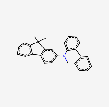 CN(c1ccc2c(c1)C(C)(C)c1ccccc1-2)c1ccccc1-c1ccccc1